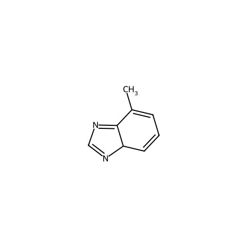 CC1=CC=CC2N=CN=C12